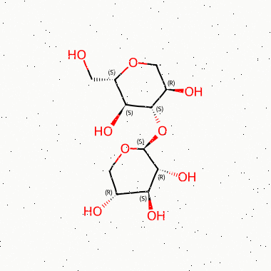 OC[C@@H]1O[CH][C@@H](O)[C@H](O[C@@H]2OC[C@@H](O)[C@H](O)[C@H]2O)[C@H]1O